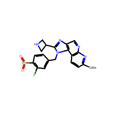 COc1ccc2c(ncc3nc(C4CNC4)n(Cc4ccc([SH](=O)=O)c(F)c4)c32)n1